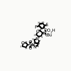 CC(C)(C)N(C(=O)O)[C@H]1C[C@@H](N2Cc3cnn(S(=O)(=O)[C@H]4CCOC4)c3C2)CO[C@@H]1c1cc(F)ccc1F